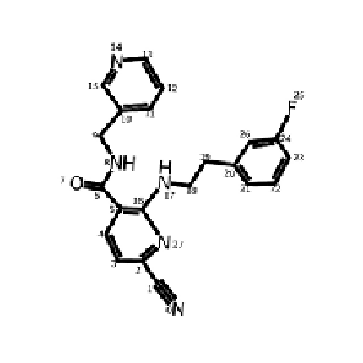 N#Cc1ccc(C(=O)NCc2cccnc2)c(NCCc2cccc(F)c2)n1